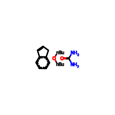 C1=Cc2ccccc2C1.CCCCOCCCC.NC(N)=O